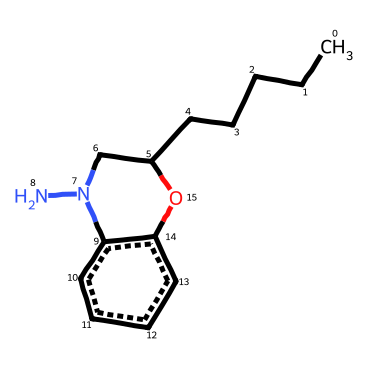 CCCCCC1CN(N)c2ccccc2O1